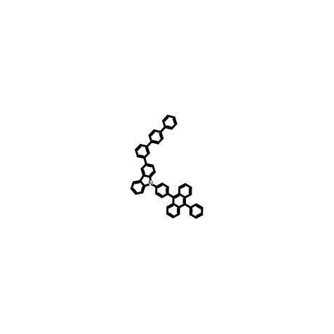 c1ccc(-c2ccc(-c3cccc(-c4ccc5c(c4)c4ccccc4n5-c4ccc(-c5c6ccccc6c(-c6ccccc6)c6ccccc56)cc4)c3)cc2)cc1